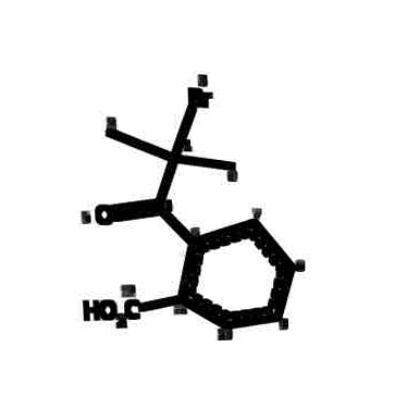 CC(C)(Br)C(=O)c1ccccc1C(=O)O